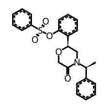 C[C@@H](c1ccccc1)N1C[C@H](c2ccccc2OS(=O)(=O)c2ccccc2)OCC1=O